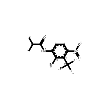 CC(C)C(=O)Nc1ccc([N+](=O)[O-])c(C(F)(F)F)c1Br